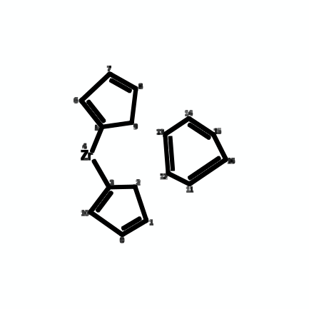 C1=CC[C]([Zr][C]2=CC=CC2)=C1.c1ccccc1